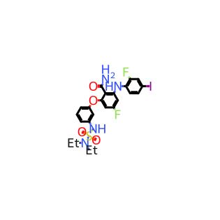 CCN(CC)S(=O)(=O)Nc1cccc(Oc2cc(F)cc(Nc3ccc(I)cc3F)c2C(N)=O)c1